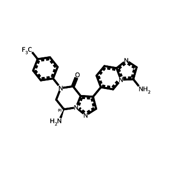 Nc1cnc2ccc(-c3cnn4c3C(=O)N(c3ccc(C(F)(F)F)cc3)C[C@@H]4N)cn12